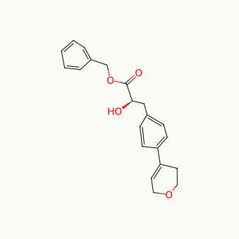 O=C(OCc1ccccc1)[C@H](O)Cc1ccc(C2=CCOCC2)cc1